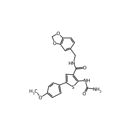 COc1ccc(-c2cc(C(=O)NCc3ccc4c(c3)OCO4)c(NC(N)=O)s2)cc1